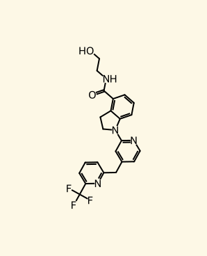 O=C(NCCO)c1cccc2c1CCN2c1cc(Cc2cccc(C(F)(F)F)n2)ccn1